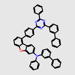 c1ccc(-c2cccc(-c3nc(-c4ccccc4)nc(-c4ccc(-c5cccc6oc7cc(N(c8ccccc8)c8cccc(-c9ccccc9)c8)ccc7c56)cc4)n3)c2)cc1